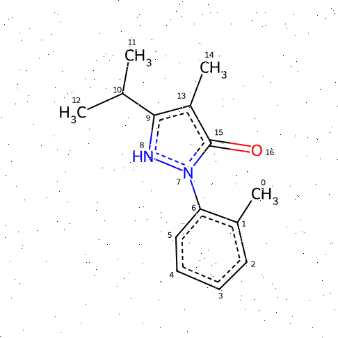 Cc1ccccc1-n1[nH]c(C(C)C)c(C)c1=O